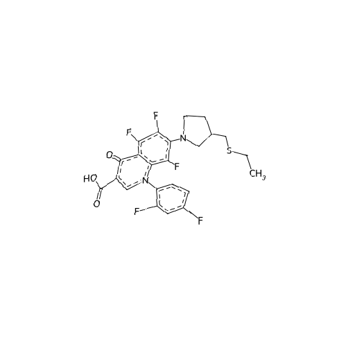 CCSCC1CCN(c2c(F)c(F)c3c(=O)c(C(=O)O)cn(-c4ccc(F)cc4F)c3c2F)C1